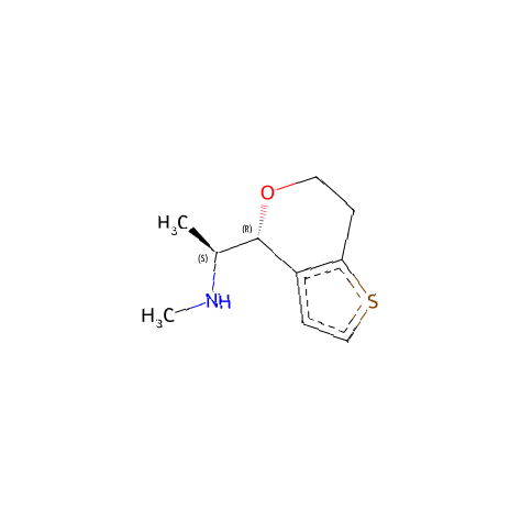 CN[C@@H](C)[C@@H]1OCCc2sccc21